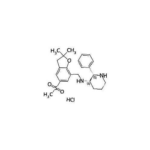 CC1(C)Cc2cc(S(C)(=O)=O)cc(CN[C@H]3CCCN[C@H]3c3ccccc3)c2O1.Cl